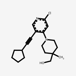 CC1(CO)CCN(c2cc(Cl)ncc2C#CC2CCCC2)CC1